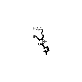 Cc1ccc(C(=O)NC(CSCC(=O)O)CC(C)C)s1